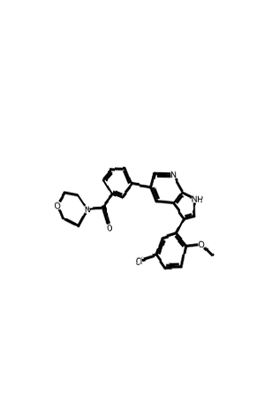 COc1ccc(Cl)cc1-c1c[nH]c2ncc(-c3cccc(C(=O)N4CCOCC4)c3)cc12